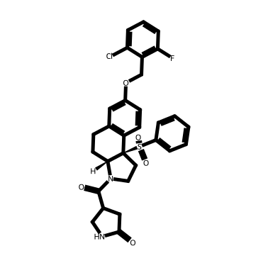 O=C1CC(C(=O)N2CC[C@@]3(S(=O)(=O)c4ccccc4)c4ccc(OCc5c(F)cccc5Cl)cc4CC[C@@H]23)CN1